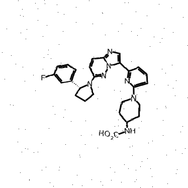 O=C(O)NC1CCN(c2cccc(-c3cnc4ccc(N5CCC[C@@H]5c5cccc(F)c5)nn34)n2)CC1